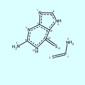 NP=S.Nc1nc2nc[nH]c2c(=S)[nH]1